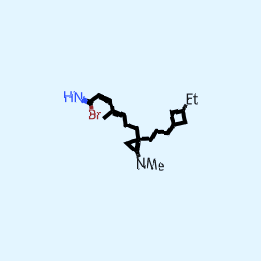 CCC1CC(CCCC2(CC/C=C(C)/C=C\C(=N)Br)CC2NC)C1